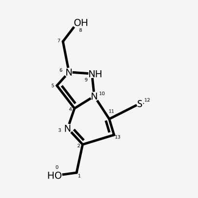 OCC1=NC2=CN(CO)NN2C([S])=C1